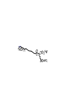 CCCCCCCC/C=C\CCCCCCCC(=O)OCC(CCCCCCCCCCCCCC)C(=O)O